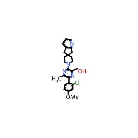 COc1ccc(-c2nc(CO)c(N3CCC4(CC3)Cc3cccnc3C4)nc2C)c(Cl)c1